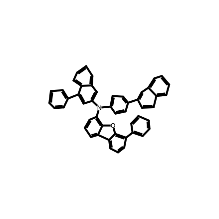 c1ccc(-c2cc(N(c3ccc(-c4ccc5ccccc5c4)cc3)c3cccc4c3oc3c(-c5ccccc5)cccc34)cc3ccccc23)cc1